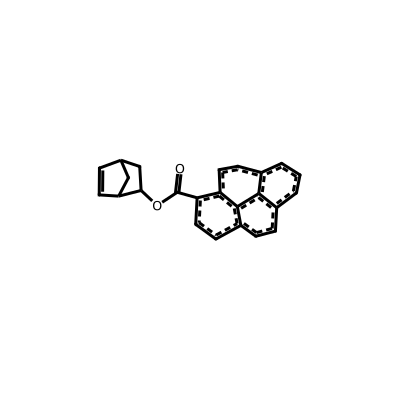 O=C(OC1CC2C=CC1C2)c1ccc2ccc3cccc4ccc1c2c34